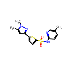 Cc1ccc(NS(=O)(=O)c2ccc(-c3cc(C(F)(F)F)n(C)n3)s2)nc1